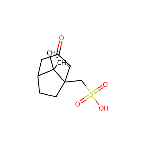 CC1(C)C2CCC1(CS(=O)(=O)O)CC(=O)C2